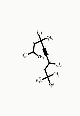 CC(C)CC(C)(O)C#CC(C)CC(C)(C)O